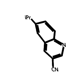 CC(C)c1ccc2ncc(C#N)cc2c1